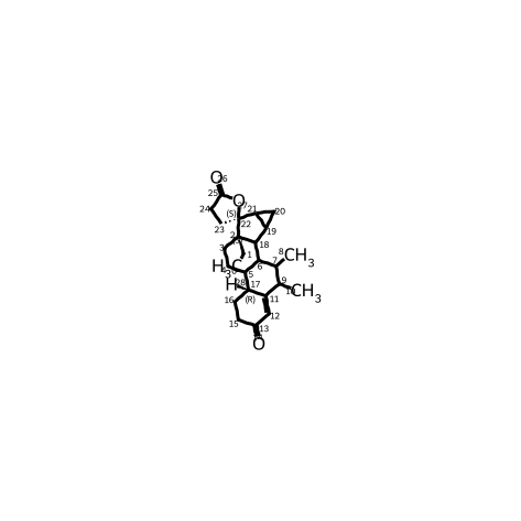 CC[C@]12CCC3C(C(C)C(C)C4=CC(=O)CC[C@@H]43)C1C1CC1[C@@]21CCC(=O)O1